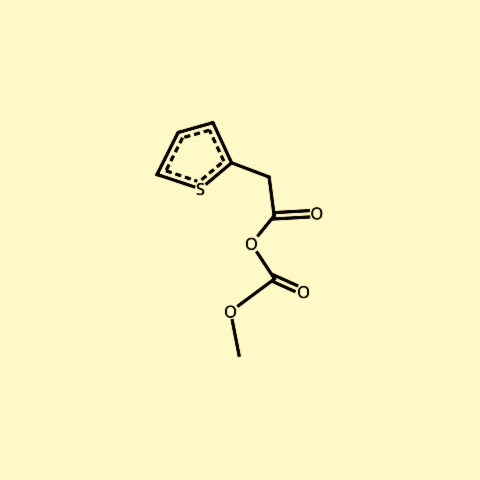 COC(=O)OC(=O)Cc1cccs1